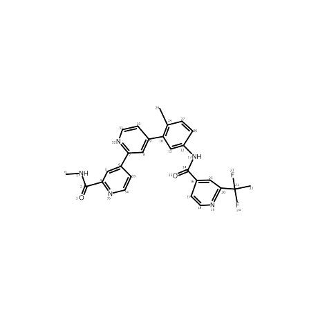 CNC(=O)c1cc(-c2cc(-c3cc(NC(=O)c4ccnc(C(C)(F)F)c4)ccc3C)ccn2)ccn1